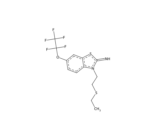 CCSCCn1c(=N)sc2cc(OC(F)(F)C(F)(F)F)ccc21